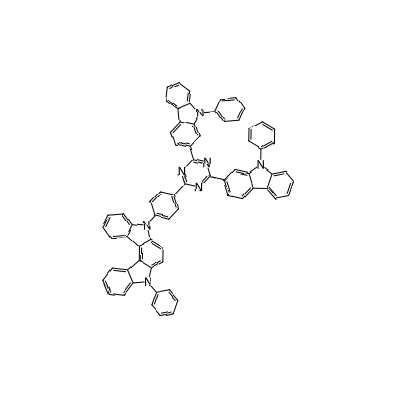 c1ccc(-n2c3ccccc3c3ccc(-c4nc(-c5ccc(-n6c7ccccc7c7c8c9ccccc9n(-c9ccccc9)c8ccc76)cc5)nc(-c5ccc6c7ccccc7n(-c7ccccc7)c6c5)n4)cc32)cc1